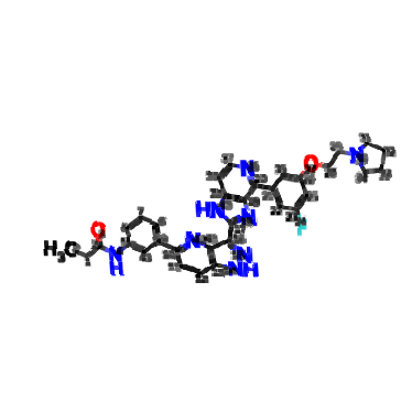 CCC(=O)Nc1cccc(-c2ccc3[nH]nc(-c4nc5c(-c6cc(F)cc(OCCN7CCCC7)c6)nccc5[nH]4)c3n2)c1